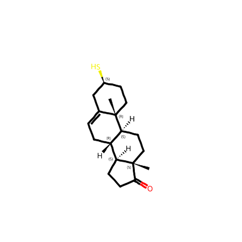 C[C@]12CC[C@H](S)CC1=CC[C@@H]1[C@@H]2CC[C@]2(C)C(=O)CC[C@@H]12